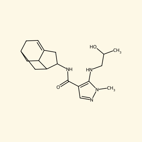 CC(O)CNc1c(C(=O)NC2CC3=CCC4CC3C2C4)cnn1C